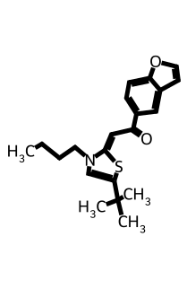 CCCCN1C=C(C(C)(C)C)SC1=CC(=O)c1ccc2occc2c1